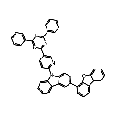 c1ccc(-c2nc(-c3ccccc3)nc(-c3ccc(-n4c5ccccc5c5cc(-c6cccc7c6oc6ccccc67)ccc54)nc3)n2)cc1